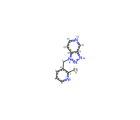 CCc1ncccc1Cn1nnc2cnccc21